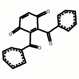 O=C1C=CC(=O)C(C(=O)c2ccccc2)=C1C(=O)c1ccccc1